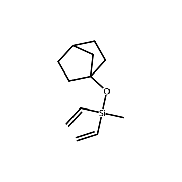 C=C[Si](C)(C=C)OC12CCC(CC1)C2